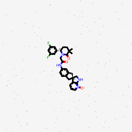 CC1(C)CC[C@@H](c2cc(F)cc(F)c2)N(CC(=O)Nc2ccc3c(c2)C[C@]2(CNc4c2ccc[n+]4[O-])C3)C1=O